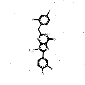 Cn1c(-c2ccc(Cl)c(F)c2)nc2c(=O)[nH]c(Cc3ccc(F)cc3F)nc21